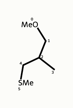 [CH2]OCC(C)CSC